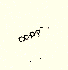 CC(=O)NC[C@H]1CN(c2ccc(N3CCC4(CC3)CSCCCO4)c(F)c2)C(=O)O1